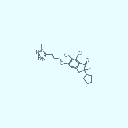 CC1(C2CCCC2)Cc2cc(OCCCc3nnn[nH]3)c(Cl)c(Cl)c2C1=O